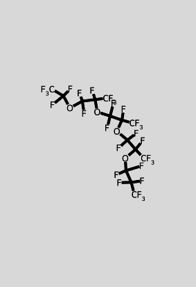 FC(F)(F)C(F)(F)OC(F)(F)C(F)(OC(F)(F)C(F)(OC(F)(F)C(F)(OC(F)(F)C(F)(F)C(F)(F)F)C(F)(F)F)C(F)(F)F)C(F)(F)F